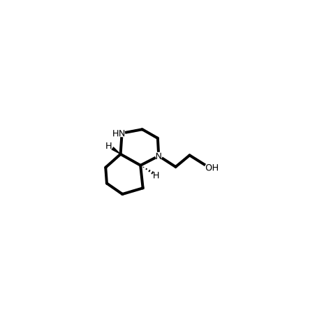 OCCN1CCN[C@H]2CCCC[C@@H]21